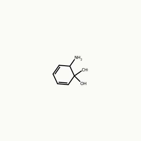 [CH]C1(O)C=CC=CC1N